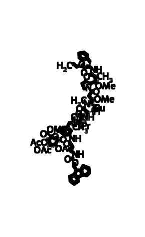 C=CCOC(=O)[C@H](Cc1ccccc1)NC(=O)[C@H](C)[C@@H](OC)[C@@H]1CCCN1C(=O)C[C@H](OC)[C@H]([C@@H](C)CC)N(C)C(=O)[C@@H](NC(=O)[C@H](C(C)C)[N+](C)(C)Cc1ccc(O[C@@H]2O[C@H](C(=O)OC)[C@@H](OC(C)=O)[C@@H](OC(C)=O)[C@@H]2OC(C)=O)c(NC(=O)CCNC(=O)OCC2c3ccccc3-c3ccccc32)c1)C(C)C